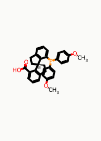 COc1ccc(P(c2ccc(OC)cc2)c2cccc3c2[C@@]2(CCc4cccc(C(=O)O)c42)CC3)cc1